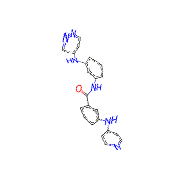 O=C(Nc1cccc(Nc2ccnnc2)c1)c1cccc(Nc2ccncc2)c1